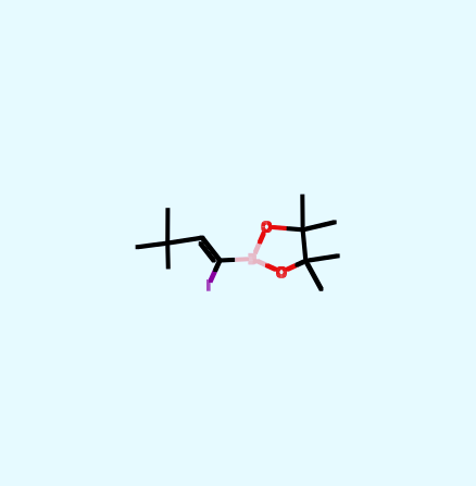 CC(C)(C)C=C(I)B1OC(C)(C)C(C)(C)O1